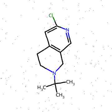 CC(C)(C)N1CCc2cc(Cl)ncc2C1